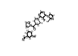 Cc1nccn1-c1ncnc(N2CCC(C(=O)N3OCC[C@H]3c3cc(F)cc(C#N)c3)CC2)c1F